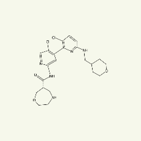 O=C(Nc1cc(-c2nc(NCC3CCOCC3)ccc2Cl)c(Cl)cn1)[C@@H]1CNCCOC1